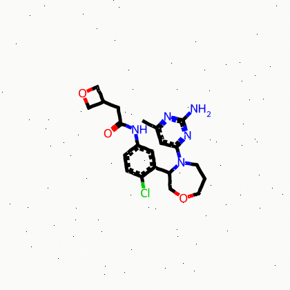 Cc1cc(N2CCCOCC2c2cc(NC(=O)CC3COC3)ccc2Cl)nc(N)n1